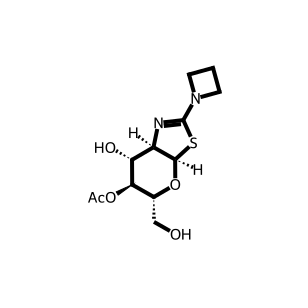 CC(=O)O[C@H]1[C@H](O)[C@H]2N=C(N3CCC3)S[C@H]2O[C@@H]1CO